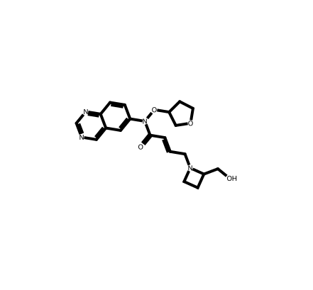 O=C(C=CCN1CCC1CO)N(OC1CCOC1)c1ccc2ncncc2c1